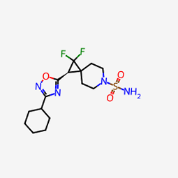 NS(=O)(=O)N1CCC2(CC1)[C@@H](c1nc(C3CCCCC3)no1)C2(F)F